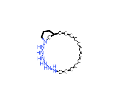 C1CCCCCCC2CCCN(C2)NNNNNNCCCCC1